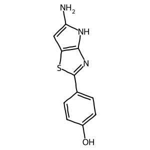 Nc1cc2sc(-c3ccc(O)cc3)nc2[nH]1